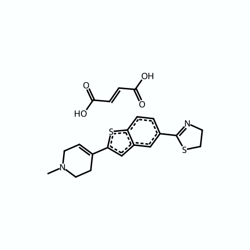 CN1CC=C(c2cc3cc(C4=NCCS4)ccc3s2)CC1.O=C(O)C=CC(=O)O